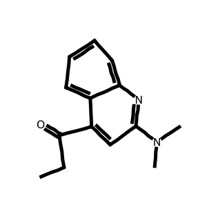 CCC(=O)c1cc(N(C)C)nc2ccccc12